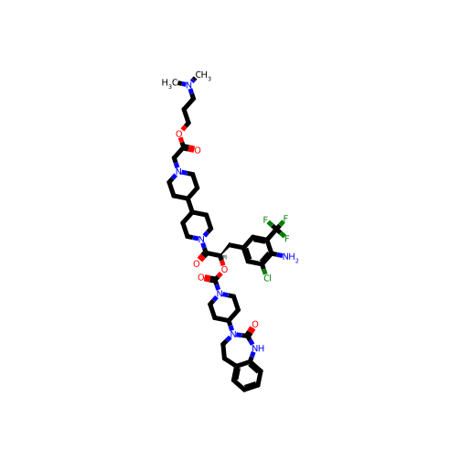 CN(C)CCCOC(=O)CN1CCC(C2CCN(C(=O)[C@@H](Cc3cc(Cl)c(N)c(C(F)(F)F)c3)OC(=O)N3CCC(N4CCc5ccccc5NC4=O)CC3)CC2)CC1